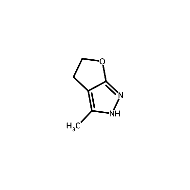 Cc1[nH]nc2c1CCO2